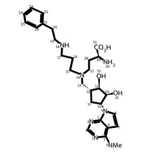 CNc1ncnc2c1ccn2[C@@H]1C[C@H](CN(CCCNCCc2ccccc2)CC[C@H](N)C(=O)O)[C@@H](O)[C@H]1O